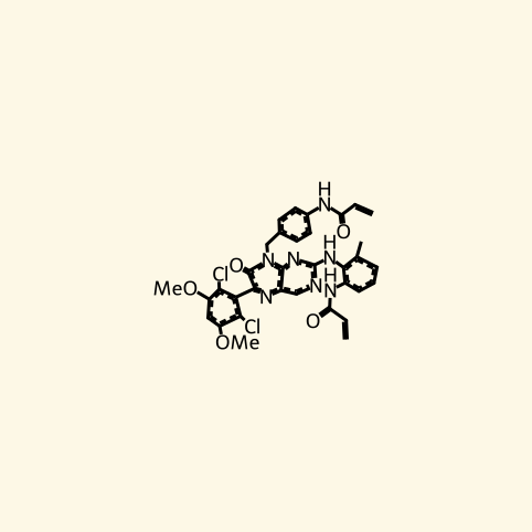 C=CC(=O)Nc1ccc(Cn2c(=O)c(-c3c(Cl)c(OC)cc(OC)c3Cl)nc3cnc(Nc4c(C)cccc4NC(=O)C=C)nc32)cc1